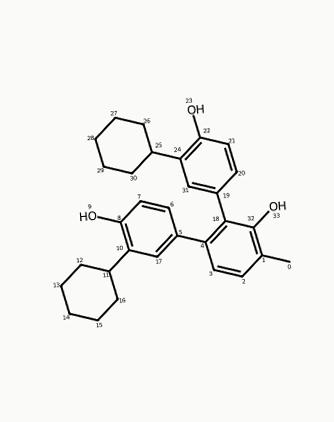 Cc1ccc(-c2ccc(O)c(C3CCCCC3)c2)c(-c2ccc(O)c(C3CCCCC3)c2)c1O